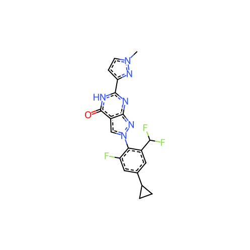 Cn1ccc(-c2nc3nn(-c4c(F)cc(C5CC5)cc4C(F)F)cc3c(=O)[nH]2)n1